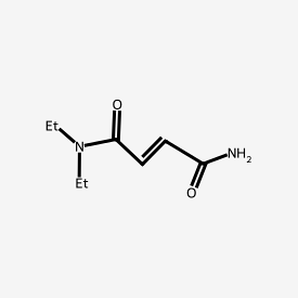 CCN(CC)C(=O)C=CC(N)=O